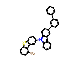 Brc1cccc2sc3ccc(-n4c5ccccc5c5cc(-c6cccc(-c7ccccc7)c6)ccc54)cc3c12